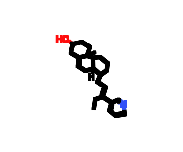 CC/C(=C\CC1CCCC2[C@H]1CC=C1C[C@@H](O)CC[C@@]12C)c1cccnc1